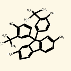 Cc1ccc2c(c1)C(c1ccc(O)c(C(C)(C)C)c1)(c1ccc(O)c(C(C)(C)C)c1)c1cc(C)ccc1-2